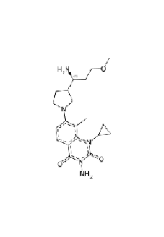 COCC[C@H](N)C1CCN(c2ccc3c(=O)n(N)c(=O)n(C4CC4)c3c2C)C1